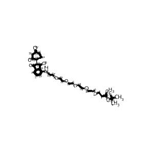 CC(C)(C)OC(=O)CCOCCOCCOCCOCCOCCNc1cccc2c1C(=O)[C@H](C1CCC(=O)CC1=O)C2=O